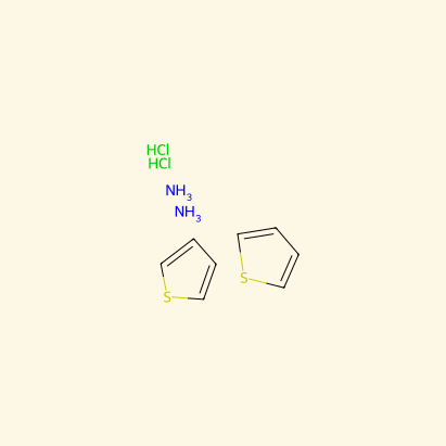 Cl.Cl.N.N.c1ccsc1.c1ccsc1